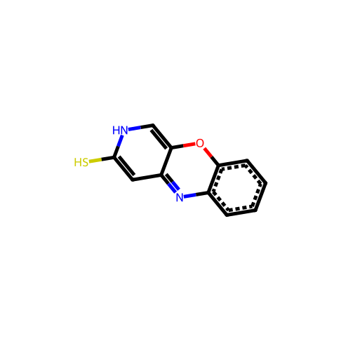 SC1=CC2=Nc3ccccc3OC2=CN1